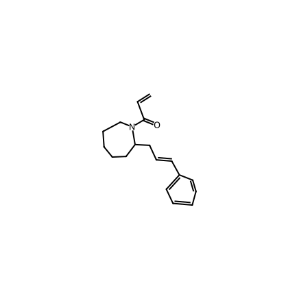 C=CC(=O)N1CCCCCC1C/C=C/c1ccccc1